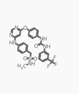 CNS(=O)(=O)Cc1ccc(Nc2cc(Oc3ccc(NC(=O)Nc4cccc(C(F)(F)F)c4)cc3)ncn2)cc1